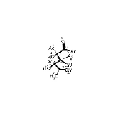 CC(=O)C(=O)[C@@](O)(C(C)=O)[C@](O)(C(C)=O)[C@](O)(C(C)=O)[C@@H](C)O